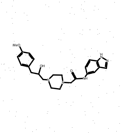 COc1ccc(CC(O)CN2CCN(CC(=O)Nc3ccc4[nH]ncc4c3)CC2)cc1